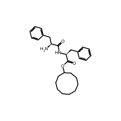 N[C@@H](Cc1ccccc1)C(=O)N[C@@H](Cc1ccccc1)C(=O)OC1CCCCCCCCC1